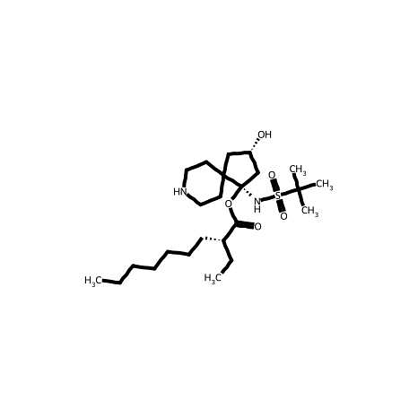 CCCCCCC[C@@H](CC)C(=O)O[C@]1(NS(=O)(=O)C(C)(C)C)C[C@@H](O)CC12CCNCC2